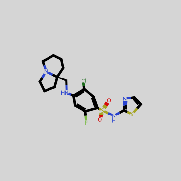 O=S(=O)(Nc1nccs1)c1cc(Cl)c(NC[C@]23CCCCN2CCC3)cc1F